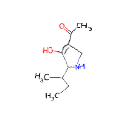 CCC(C)C1NCC(C(C)=O)=C1O